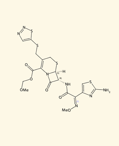 COCOC(=O)C1=C(CSc2cnns2)CS[C@H]2[C@H](NC(=O)/C(=N\OC)c3csc(N)n3)C(=O)N12